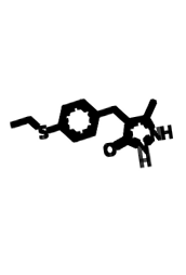 CCSc1ccc(Cc2c(C)[nH][nH]c2=O)cc1